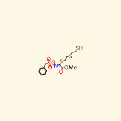 COC(=O)/C(=N/OS(=O)(=O)Cc1ccccc1)SCCSCCS